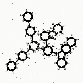 c1ccc(-c2ccc(-c3nc(-c4ccc(-c5ccccc5)cc4)nc(-c4ccc(-n5c6ccccc6c6cc7ccccc7cc65)cc4-c4cccc5c4sc4ccccc45)n3)cc2)cc1